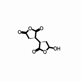 O=C1C[C@@H]([C@@H]2CC(O)OC2=O)C(=O)O1